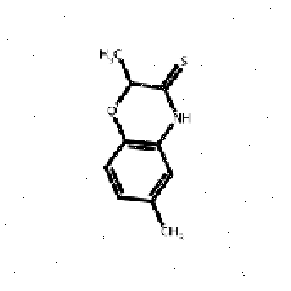 Cc1ccc2c(c1)NC(=S)C(C)O2